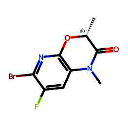 C[C@H]1Oc2nc(Br)c(F)cc2N(C)C1=O